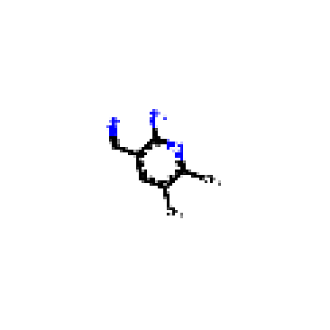 Cc1cc(C=N)c(N)nc1C